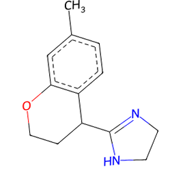 Cc1ccc2c(c1)OCCC2C1=NCCN1